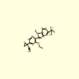 CCSc1cc(C2(C#N)CC2)cnc1-c1nc2cc(C(C)(F)F)ccc2n1C